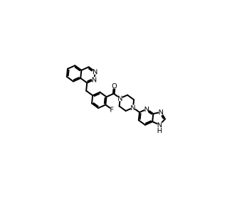 O=C(c1cc(Cc2nncc3ccccc23)ccc1F)N1CCN(c2ccc3[nH]cnc3n2)CC1